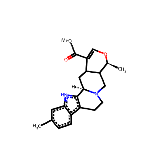 COC(=O)C1=CO[C@@H](C)C2CN3CCc4c([nH]c5cc(C)ccc45)[C@H]3CC12